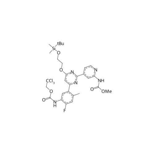 COC(=O)Nc1cc(-c2nc(OCCO[Si](C)(C)C(C)(C)C)cc(-c3cc(NC(=O)OCC(Cl)(Cl)Cl)c(F)cc3C)n2)ccn1